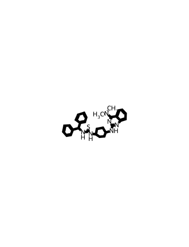 CN(C)c1nc(NC2CCC(NC(=S)NC(c3ccccc3)c3ccccc3)CC2)nc2ccccc12